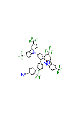 N#Cc1ccc(-c2ccc(-n3c4ccc(C(F)(F)F)cc4c4cc(C(F)(F)F)ccc43)c(-c3cc(-n4c5ccc(C(F)(F)F)cc5c5cc(C(F)(F)F)ccc54)ccc3C#N)c2)c(C(F)(F)F)c1